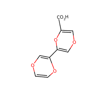 O=C(O)C1=COC=C(C2=COC=CO2)O1